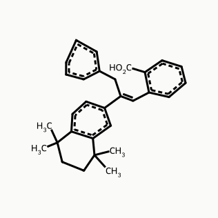 CC1(C)CCC(C)(C)c2cc(C(=Cc3ccccc3C(=O)O)Cc3ccccc3)ccc21